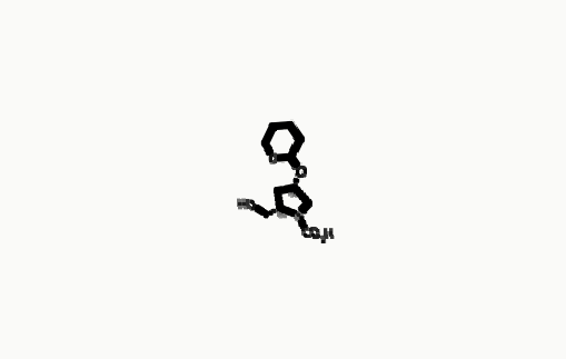 O=C(O)N1C[C@@H](OC2CCCCO2)C[C@H]1CO